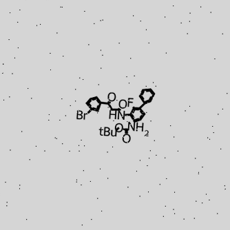 CC(C)(C)OC(N)=O.O=C(CC(=O)c1cccc(Br)c1)Nc1cccc(-c2ccccc2)c1F